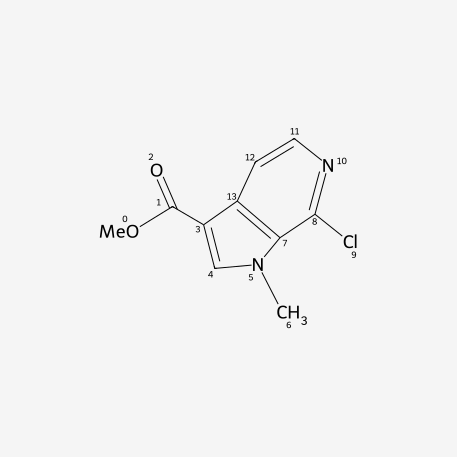 COC(=O)c1cn(C)c2c(Cl)nccc12